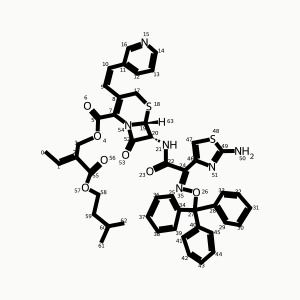 C/C=C(\COC(=O)C1=C(/C=C\c2cccnc2)CS[C@@H]2[C@H](NC(=O)/C(=N/OC(c3ccccc3)(c3ccccc3)c3ccccc3)c3csc(N)n3)C(=O)N12)C(=O)OCCC(C)C